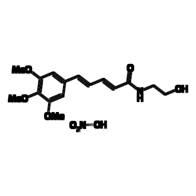 COc1cc(C=CC=CC(=O)NCCO)cc(OC)c1OC.O=[N+]([O-])O